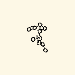 CCC1=C(c2ccc(-c3ccccc3)cc2)CC=C(c2ccc3c(c2)c2ccccc2c2cccc(-c4ccc5c(c4)Cc4ccccc4-5)c23)N=C1c1ccccc1